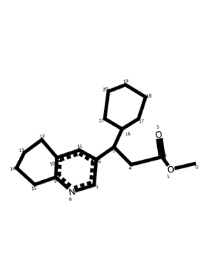 COC(=O)CC(c1cnc2c(c1)CCCC2)C1CCCCC1